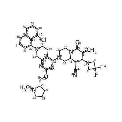 C=C(CN1CC(F)(F)C1)C(=O)N1CCN(c2nc(OC[C@@H]3CCCN3C)nc3c2CCN(c2cccc4cccc(Cl)c24)C3)C[C@@H]1CC#N